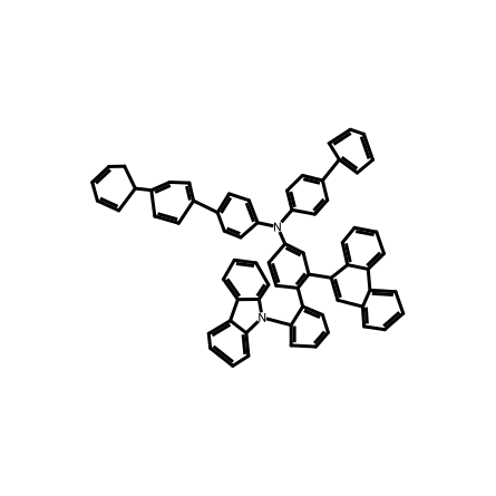 C1=CCC(c2ccc(-c3ccc(N(c4ccc(-c5ccccc5)cc4)c4ccc(-c5ccccc5-n5c6ccccc6c6ccccc65)c(-c5cc6ccccc6c6ccccc56)c4)cc3)cc2)C=C1